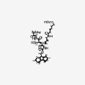 CCCCCCCCCCCCCCCC(=O)NCCCC[C@H](NC(=O)OCC1c2ccccc2-c2ccccc21)C(=O)NC(CS)C(=O)NCC(=O)NC